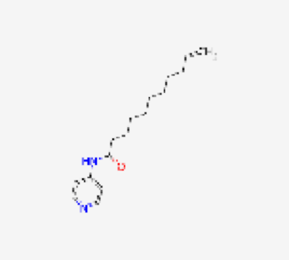 C=CCCCCCCCCC(=O)Nc1ccncc1